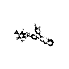 CCCn1c(=O)n(C2CC2)c(=O)c2[nH]c(-c3ccc(N(CCCn4ccccc4=O)C(=O)c4ccc(=O)n(C)n4)nc3)nc21